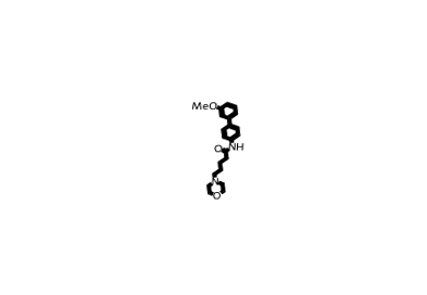 COc1cccc(-c2ccc(NC(=O)CCCCN3CCOCC3)cc2)c1